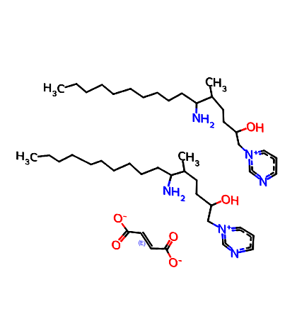 CCCCCCCCCCC(N)C(C)CCC(O)C[n+]1cccnc1.CCCCCCCCCCC(N)C(C)CCC(O)C[n+]1cccnc1.O=C([O-])/C=C/C(=O)[O-]